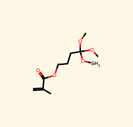 C=C(C)C(=O)OCCCC(OC)(OC)O[SiH3]